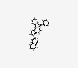 c1ccc(-n2c3ccccc3c3c4ccn(-c5ccc6ccccc6n5)c4ccc32)cc1